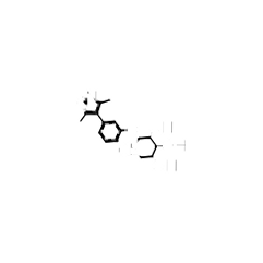 Cc1noc(C)c1-c1ccc(Cl)c(O[C@@H]2SC[C@@H](O)[C@H](O)[C@H]2O)c1